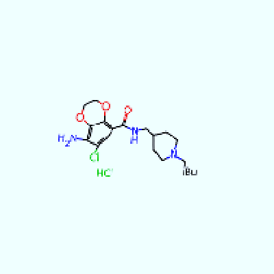 CCC(C)CN1CCC(CNC(=O)c2cc(Cl)c(N)c3c2OCCO3)CC1.Cl